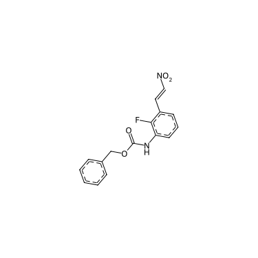 O=C(Nc1cccc(/C=C/[N+](=O)[O-])c1F)OCc1ccccc1